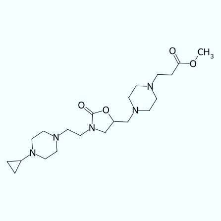 COC(=O)CCN1CCN(CC2CN(CCN3CCN(C4CC4)CC3)C(=O)O2)CC1